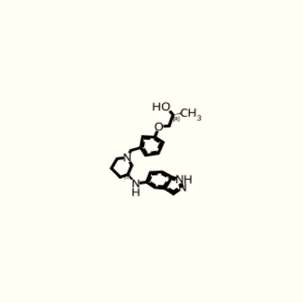 C[C@@H](O)COc1cccc(CN2CCC[C@H](Nc3ccc4[nH]ncc4c3)C2)c1